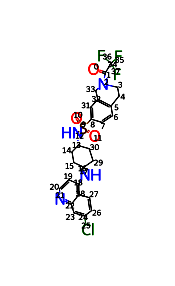 O=C(N1CCc2ccc(S(=O)(=O)N[C@H]3CC[C@@H](Nc4ccnc5cc(Cl)ccc45)CC3)cc2C1)C(F)(F)F